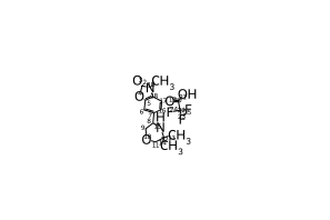 Cn1c(=O)oc2cc(C3COCC(C)(C)N3)ccc21.O=C(O)C(F)(F)F